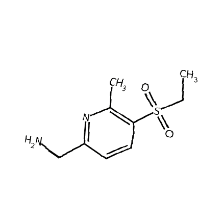 CCS(=O)(=O)c1ccc(CN)nc1C